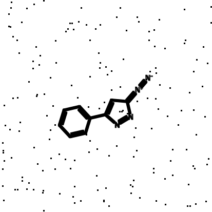 [N-]=[N+]=C1C=C(c2ccccc2)N=N1